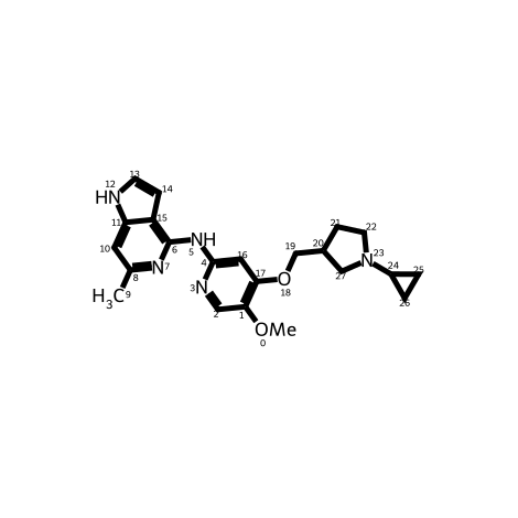 COc1cnc(Nc2nc(C)cc3[nH]ccc23)cc1OCC1CCN(C2CC2)C1